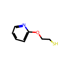 SCCOc1cc[c]cn1